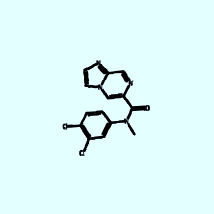 CN(C(=O)c1cn2ccnc2cn1)c1ccc(Cl)c(Cl)c1